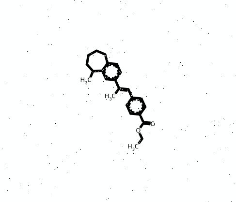 CCOC(=O)c1ccc(/C=C(\C)c2ccc3c(c2)C(C)CCCC3)cc1